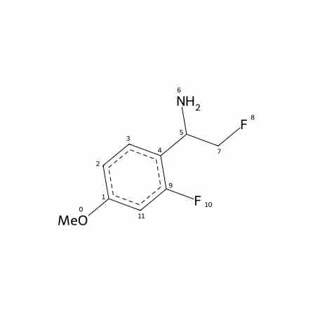 COc1ccc(C(N)CF)c(F)c1